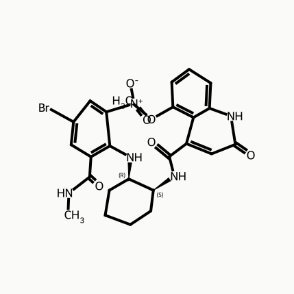 CNC(=O)c1cc(Br)cc([N+](=O)[O-])c1N[C@@H]1CCCC[C@@H]1NC(=O)c1cc(=O)[nH]c2cccc(OC)c12